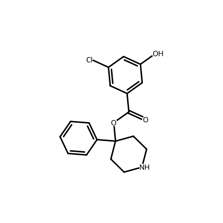 O=C(OC1(c2ccccc2)CCNCC1)c1cc(O)cc(Cl)c1